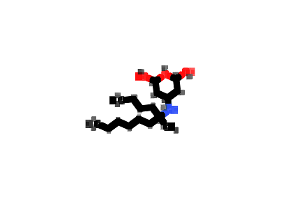 CCCCCCC(C)(CCCC)NC1CC(O)OC(O)C1